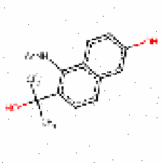 CC(=O)Nc1c(C(O)(C(F)(F)F)C(F)(F)F)ccc2cc(O)ccc12